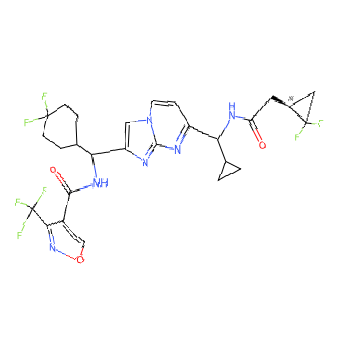 O=C(C[C@H]1CC1(F)F)NC(c1ccn2cc(C(NC(=O)c3conc3C(F)(F)F)C3CCC(F)(F)CC3)nc2n1)C1CC1